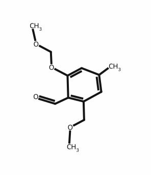 COCOc1cc(C)cc(COC)c1C=O